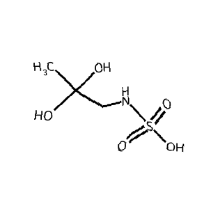 CC(O)(O)CNS(=O)(=O)O